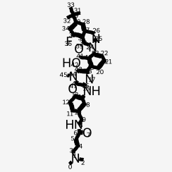 CN(C)C/C=C/C(=O)NCc1cccc(Nc2nc(-c3cccc(-n4ncc5cc(C(C)(C)C)cc(F)c5c4=O)c3CO)cn(C)c2=O)c1